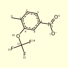 Cc1[c]cc([N+](=O)[O-])cc1OC(F)(F)F